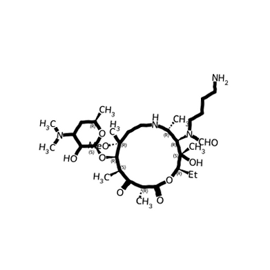 CC[C@H]1OC(=O)[C@H](C)C(=O)[C@@H](C)[C@@H](O[C@@H]2O[C@H](C)CC(N(C)C)C2O)[C@](C)(OC)CCN[C@H](C)[C@@H](N(C=O)CCCCN)[C@]1(C)O